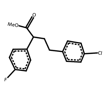 COC(=O)C(CCc1ccc(Cl)cc1)c1ccc(F)cc1